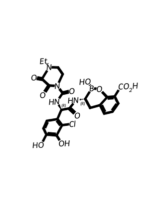 CCN1CCN(C(=O)N[C@@H](C(=O)N[C@H]2Cc3cccc(C(=O)O)c3OB2O)c2ccc(O)c(O)c2Cl)C(=O)C1=O